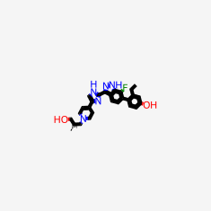 CCc1cc(O)ccc1-c1ccc2c(-c3nc(C4=CCN(C[C@H](C)CO)CC4)c[nH]3)n[nH]c2c1F